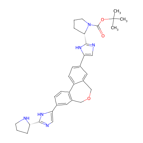 CC(C)(C)OC(=O)N1CCC[C@H]1c1ncc(-c2ccc3c(c2)COCc2cc(-c4cnc([C@@H]5CCCN5)[nH]4)ccc2-3)[nH]1